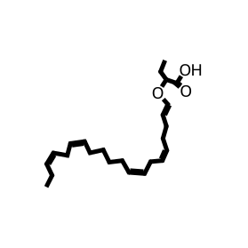 CC/C=C\C/C=C\CCCC/C=C\C/C=C\CCC=COC(CC)C(=O)O